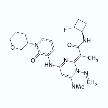 C=NN1C(NC)=CC(Nc2cccn([C@H]3CCCOC3)c2=O)=N/C1=C(/C)C(=O)N[C@@H]1CC[C@H]1F